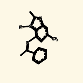 CC(=Nc1cc(C(F)(F)F)cc2nc(C)n(C(C)C)c12)c1ccccc1